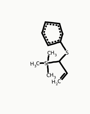 C=CC(Sc1ccccc1)[Si](C)(C)C